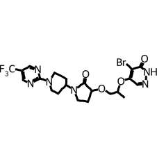 CC(COC1CCN(C2CCN(c3ncc(C(F)(F)F)cn3)CC2)C1=O)Oc1cn[nH]c(=O)c1Br